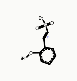 CCS(=O)(=O)/C=C/c1ccccc1OC(C)C